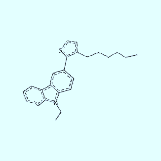 CCCCCCc1ccsc1-c1ccc2c(c1)c1ccccc1n2CC